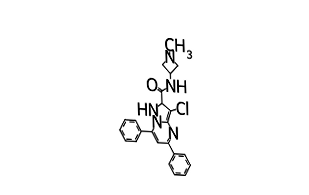 CN1CC(NC(=O)C2NN3C(c4ccccc4)=CC(c4ccccc4)=NC3=C2Cl)C1